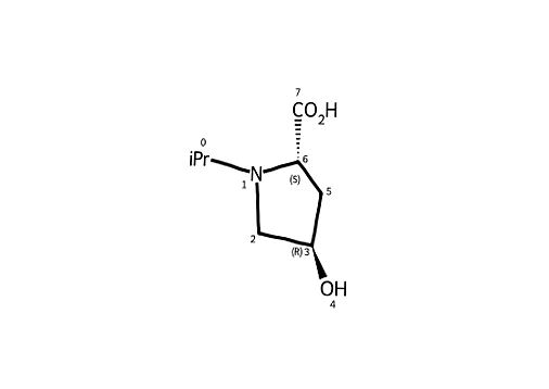 CC(C)N1C[C@H](O)C[C@H]1C(=O)O